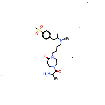 CCCN(CCCCN1CCN(C(=O)C(N)C(C)C)CCC1=O)C(C)Cc1ccc(S(C)(=O)=O)cc1